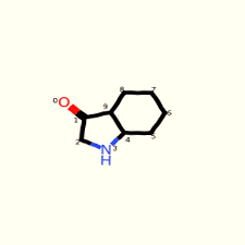 O=C1CNC2CCCCC12